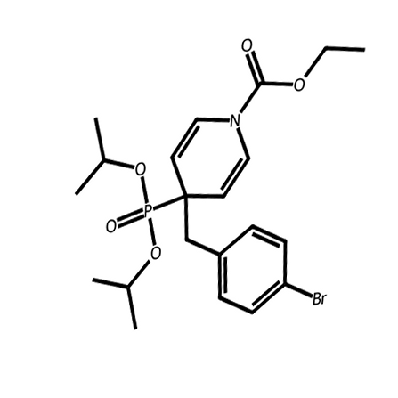 CCOC(=O)N1C=CC(Cc2ccc(Br)cc2)(P(=O)(OC(C)C)OC(C)C)C=C1